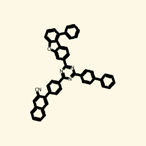 N#Cc1cc2ccccc2cc1-c1ccc(-c2nc(-c3ccc(-c4ccccc4)cc3)nc(-c3ccc4c(c3)oc3cccc(-c5ccccc5)c34)n2)cc1